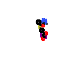 Cn1nnn(-c2ccccc2CSc2ccc(C(=O)C(I)C(=O)I)cc2)c1=O